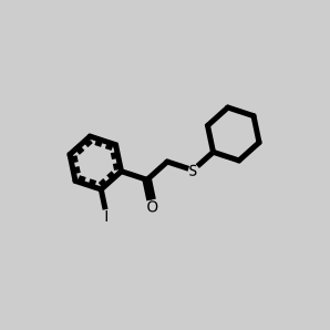 O=C(CSC1CCCCC1)c1ccccc1I